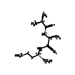 C[C@H](N)C(=O)N[C@@H](C)C(=O)N[C@@H](CCC(=O)O)C(=O)O